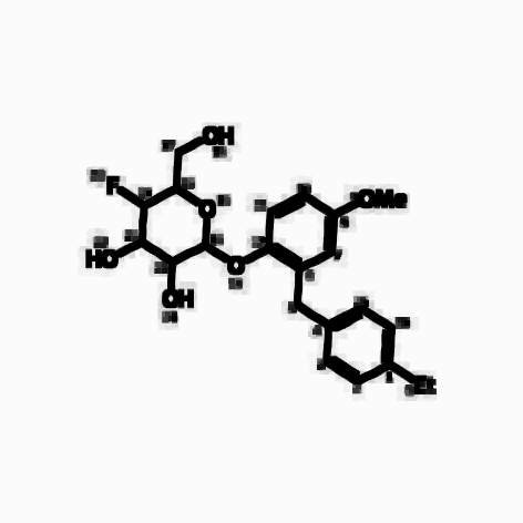 CCc1ccc(Cc2cc(OC)ccc2OC2OC(CO)C(F)C(O)C2O)cc1